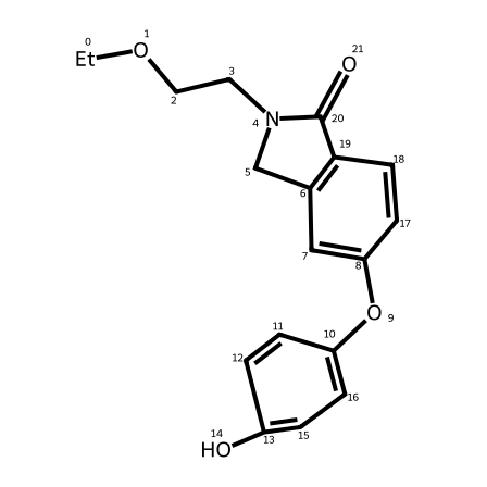 CCOCCN1Cc2cc(Oc3ccc(O)cc3)ccc2C1=O